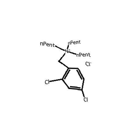 CCCCC[N+](CCCCC)(CCCCC)Cc1ccc(Cl)cc1Cl.[Cl-]